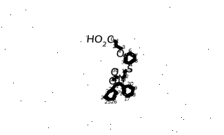 O=C(O)CCCOc1cccc(SCCn2c(-c3ccccc3)c(-c3ccccc3)oc2=O)c1